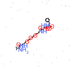 CC(C)C(N)C(=O)NCCCOCCOCCOCCCNC(=O)CCC(=O)NC(Cc1ccccc1)C(=O)O